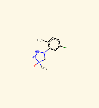 Cc1ccc(F)cc1N1C[N+](C)([O-])NN1